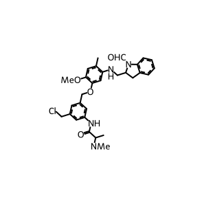 CNC(C)C(=O)Nc1cc(CCl)cc(COc2cc(NCC3Cc4ccccc4N3C=O)c(C)cc2OC)c1